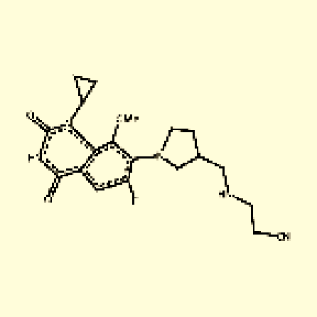 COc1c(N2CCC(CNCCC#N)C2)c(F)cc2c(=O)[nH]c(=O)n(C3CC3)c12